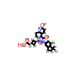 COc1ccc2c(n1)CCN(C(=O)[C@H]1C[C@@H](CC(=O)O)C1)C2C(=O)Nc1cc(F)c2c(c1)CCC2(C)C